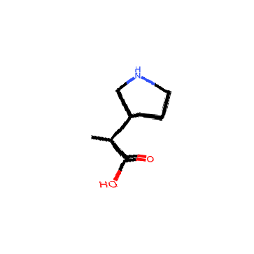 CC(C(=O)O)C1CCNC1